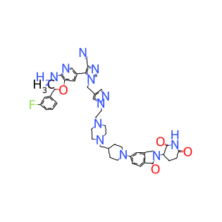 C[C@@H](Oc1cc(-c2c(C#N)ncn2Cc2cnn(CCN3CCN(CC4CCN(c5ccc6c(c5)CN(C5CCC(=O)NC5=O)C6=O)CC4)CC3)c2)cnc1N)c1cccc(F)c1